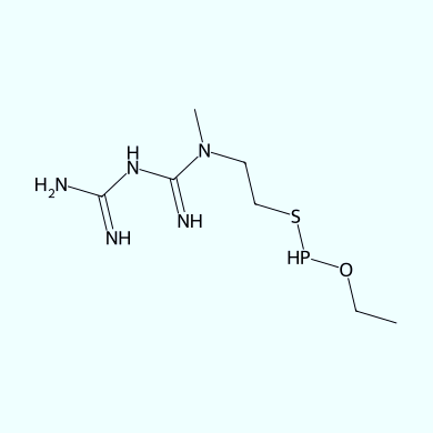 CCOPSCCN(C)C(=N)NC(=N)N